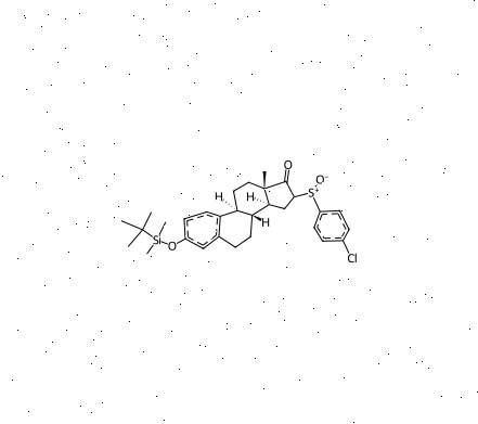 CC(C)(C)[Si](C)(C)Oc1ccc2c(c1)CC[C@@H]1[C@@H]2CC[C@]2(C)C(=O)C([S+]([O-])c3ccc(Cl)cc3)C[C@@H]12